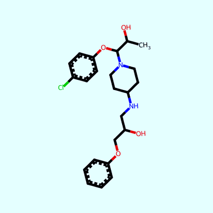 CC(O)C(Oc1ccc(Cl)cc1)N1CCC(NCC(O)COc2ccccc2)CC1